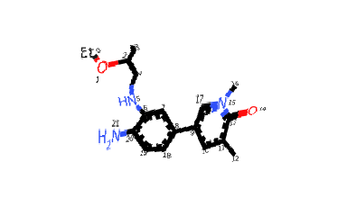 CCOC(C)CNc1cc(-c2cc(C)c(=O)n(C)c2)ccc1N